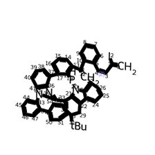 C=C(I)/C=C\c1ccccc1C(=C)c1cccc2c1Pn1c3c(c4ccccc41)CC(C(C)(C)C)C=C3c1nc3c-2cccc3n1-c1ccccc1-c1ccccc1